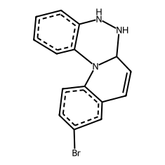 Brc1ccc2c(c1)C=CC1NNc3ccccc3N21